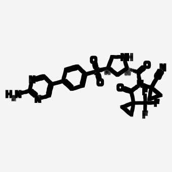 N#CC1(N(C(=O)[C@@H]2C[C@@H](S(=O)(=O)c3ccc(-c4cnc(N)nc4)cc3)CN2)C(=O)C2(C(F)(F)F)CC2)CC1